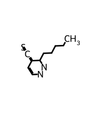 CCCCCC1N=NC=CC1=C=S